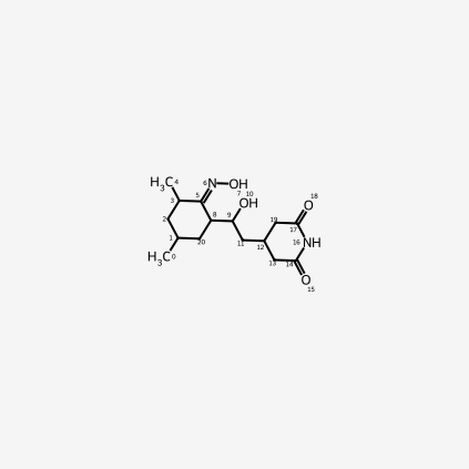 CC1CC(C)C(=NO)C(C(O)CC2CC(=O)NC(=O)C2)C1